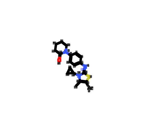 CC(=O)c1s/c(=N/c2ccc(N3CCCCC3=O)cc2)n(C2CC2)c1C